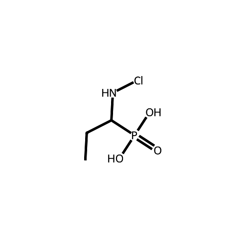 CCC(NCl)P(=O)(O)O